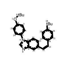 CC(C)(C)Oc1ccc(-n2cnc3cc(/C=C\c4ccc(C(C)(C)C)cc4)ccc32)cc1